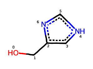 OCc1c[nH][c]n1